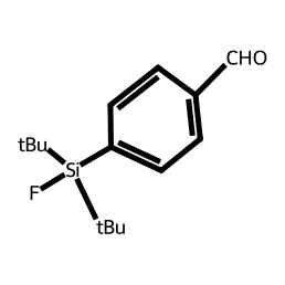 CC(C)(C)[Si](F)(c1ccc(C=O)cc1)C(C)(C)C